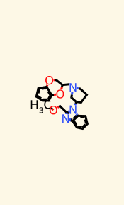 COCc1nc2ccccc2n1C1CCCN(CC2COc3ccccc3O2)C1